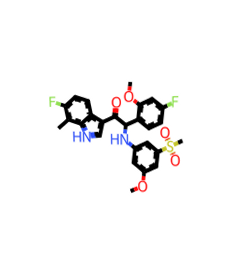 COc1cc(NC(C(=O)c2c[nH]c3c(C)c(F)ccc23)c2ccc(F)cc2OC)cc(S(C)(=O)=O)c1